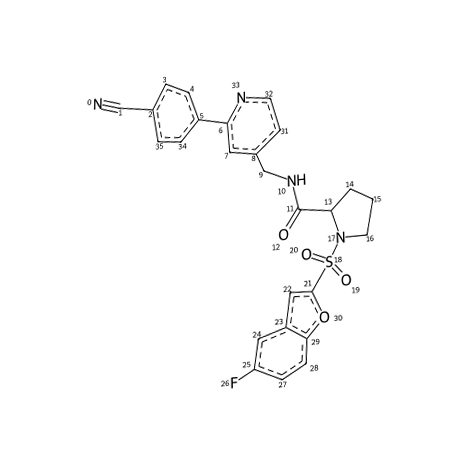 N#Cc1ccc(-c2cc(CNC(=O)C3CCCN3S(=O)(=O)c3cc4cc(F)ccc4o3)ccn2)cc1